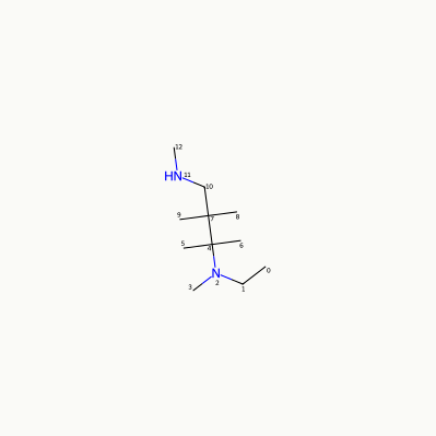 CCN(C)C(C)(C)C(C)(C)CNC